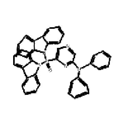 O=P(c1cncc(N(c2ccccc2)c2ccccc2)n1)(n1c2ccccc2c2ccccc21)n1c2ccccc2c2ccccc21